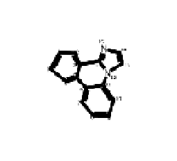 c1ccc2c(c1)c1ccccc1n1ccnc21